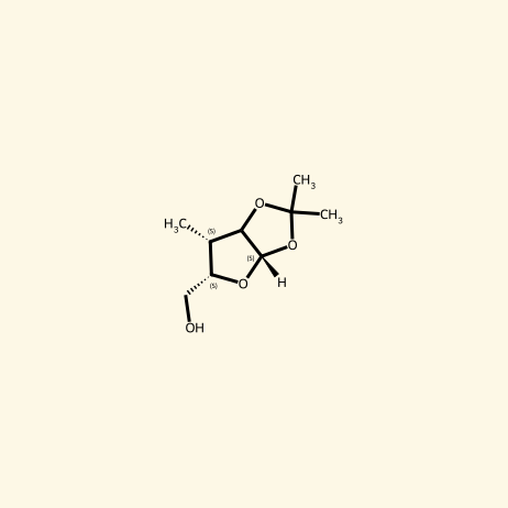 C[C@@H]1C2OC(C)(C)O[C@@H]2O[C@@H]1CO